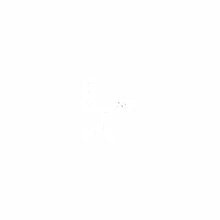 CC(C)C(N)[S+]=O